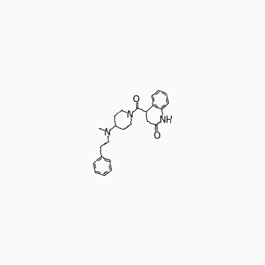 CN(CCc1ccccc1)C1CCN(C(=O)C2CC(=O)Nc3ccccc32)CC1